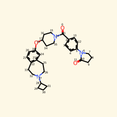 O=C(c1ccc(N2CCCC2=O)cc1)N1CCC(Oc2ccc3c(c2)CCN(C2CCC2)CC3)CC1